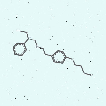 CCOCCOc1ccc(CCNC[C@@H](CO)c2ccccc2)cc1